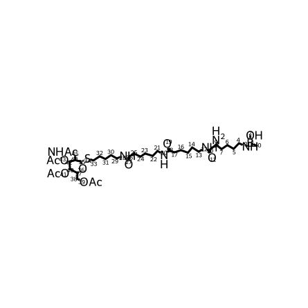 CB(O)NCCCCC(N)C(=O)NCCCCCC(=O)NCCCCCC(=O)NCCCCCS[C@@H]1OC(COC(C)=O)[C@H](OC(C)=O)[C@H](OC(C)=O)C1NC(C)=O